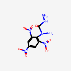 NNC(=O)N(N)c1c([N+](=O)[O-])cc([N+](=O)[O-])cc1[N+](=O)[O-]